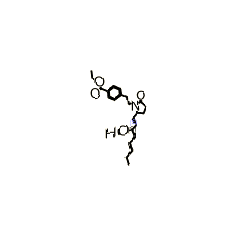 CCCCC[C@@H](O)/C=C/C1CCC(=O)N1CCc1ccc(C(=O)OCC)cc1